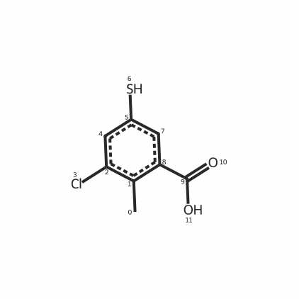 Cc1c(Cl)cc(S)cc1C(=O)O